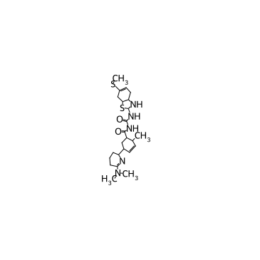 CSC1=CCC2NC(NC(=O)NC(=O)C3CC(C4CCCC(N(C)C)=N4)C=CC3C)SC2C1